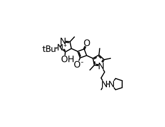 CC1=N[N+](C(C)(C)C)=C(O)C1C1=C([O-])C(c2c(C)c(C)n(CCN(C)N3CCCC3)c2C)C1=O